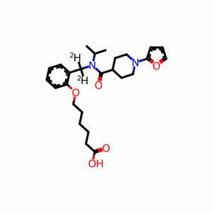 [2H]C([2H])(c1ccccc1OCCCCCC(=O)O)N(C(=O)C1CCN(c2ccco2)CC1)C(C)C